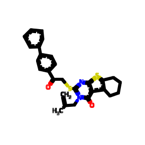 C=C(C)Cn1c(SCC(=O)c2ccc(-c3ccccc3)cc2)nc2sc3c(c2c1=O)CCCC3